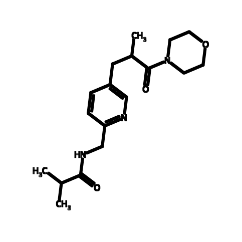 CC(C)C(=O)NCc1ccc(CC(C)C(=O)N2CCOCC2)cn1